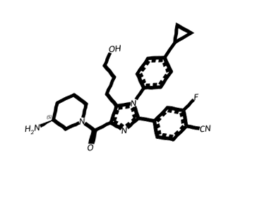 N#Cc1ccc(-c2nc(C(=O)N3CCC[C@H](N)C3)c(CCCO)n2-c2ccc(C3CC3)cc2)cc1F